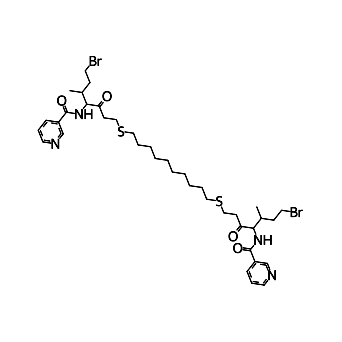 CC(CCBr)C(NC(=O)c1cccnc1)C(=O)CCSCCCCCCCCCCSCCC(=O)C(NC(=O)c1cccnc1)C(C)CCBr